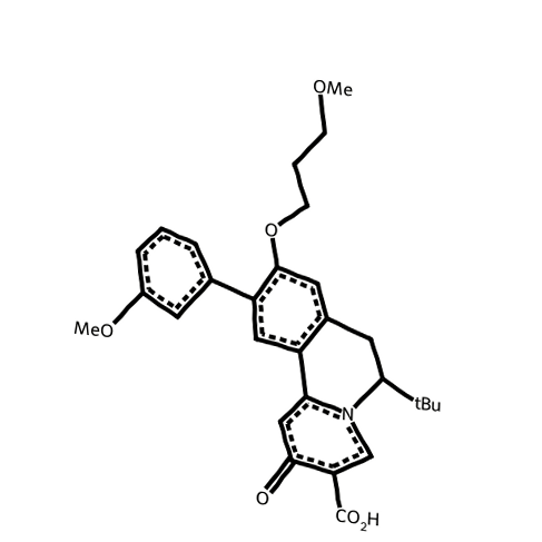 COCCCOc1cc2c(cc1-c1cccc(OC)c1)-c1cc(=O)c(C(=O)O)cn1C(C(C)(C)C)C2